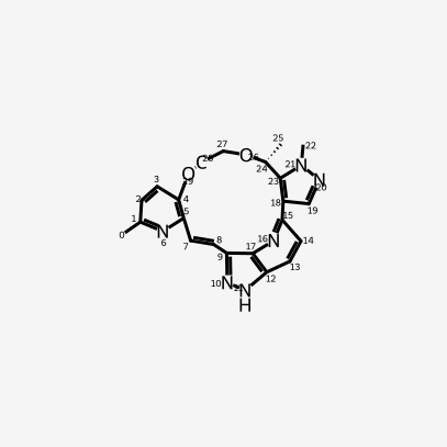 Cc1ccc2c(n1)/C=C/c1n[nH]c3ccc(nc13)-c1cnn(C)c1[C@@H](C)OCCO2